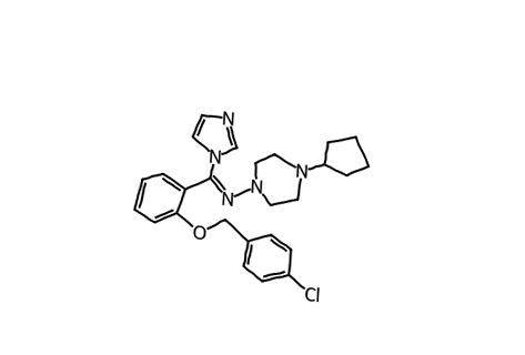 Clc1ccc(COc2ccccc2/C(=N/N2CCN(C3CCCC3)CC2)n2ccnc2)cc1